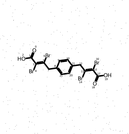 O=C(O)C(Br)=C(Br)Cc1ccc(CC(Br)=C(Br)C(=O)O)cc1